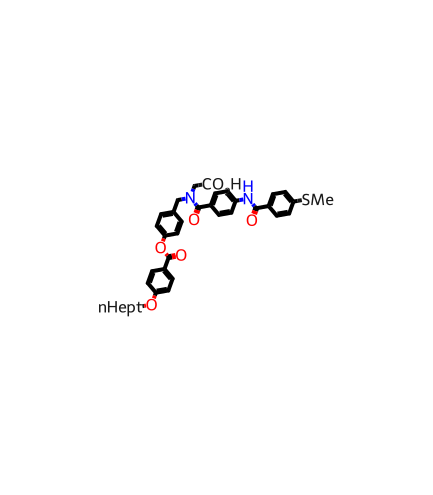 CCCCCCCOc1ccc(C(=O)Oc2ccc(CN(CC(=O)O)C(=O)c3ccc(NC(=O)c4ccc(SC)cc4)cc3)cc2)cc1